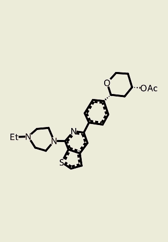 CCN1CCN(c2nc(-c3ccc([C@H]4C[C@@H](OC(C)=O)CCO4)cc3)cc3ccsc23)CC1